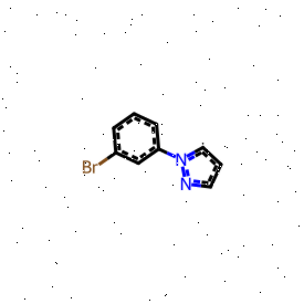 Brc1cccc(-n2[c]ccn2)c1